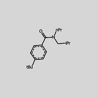 CCCN(CC(C)C)C(=O)c1ccc(C(C)(C)C)cc1